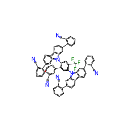 N#Cc1cccc(-c2cc(-n3c4cc(-c5ccccc5C#N)ccc4c4ccc(-c5ccccc5C#N)cc43)c(C(F)(F)F)cc2-n2c3cc(-c4ccccc4C#N)ccc3c3ccc(-c4ccccc4C#N)cc32)c1